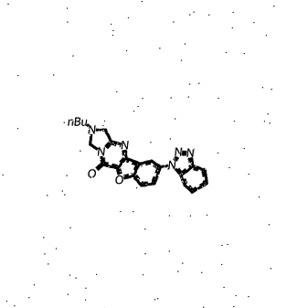 CCCCN1Cc2nc3c(oc4ccc(-n5nnc6ccccc65)cc43)c(=O)n2C1